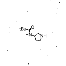 CC(C)(C)C(=O)N[C@@H]1CCNC1